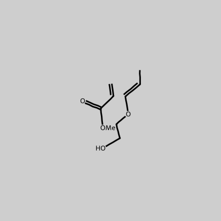 C=CC(=O)OC.CC=COCCO